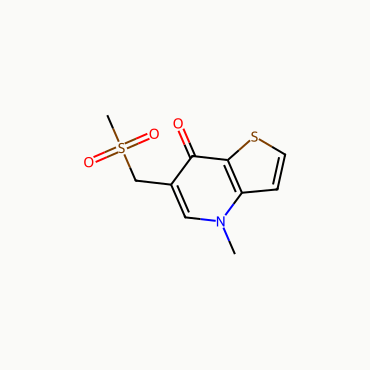 Cn1cc(CS(C)(=O)=O)c(=O)c2sccc21